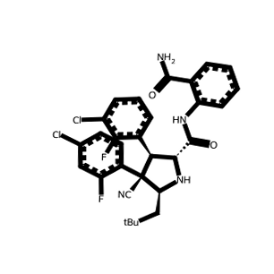 CC(C)(C)C[C@@H]1N[C@@H](C(=O)Nc2ccccc2C(N)=O)[C@H](c2cccc(Cl)c2F)[C@@]1(C#N)c1ccc(Cl)cc1F